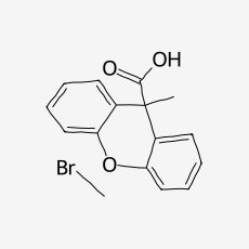 CBr.CC1(C(=O)O)c2ccccc2Oc2ccccc21